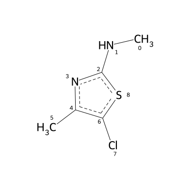 CNc1nc(C)c(Cl)s1